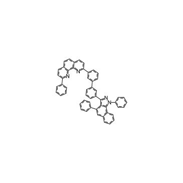 c1ccc(-c2ccc3ccc4ccc(-c5cccc(-c6cccc(-c7nn(-c8ccccc8)c8c7c(-c7ccccc7)cc7ccccc78)c6)c5)nc4c3n2)cc1